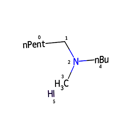 CCCCCCN(C)CCCC.I